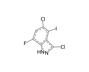 Fc1cc(Cl)c(I)c2c(Cl)n[nH]c12